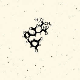 CC(C)C[C@H](C[C@@H](Cc1cncn1Cc1cc(Cl)cc(Cl)c1)C(=O)O)C(=O)O